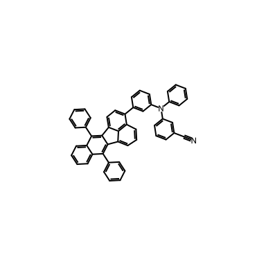 N#Cc1cccc(N(c2ccccc2)c2cccc(-c3ccc4c5c(cccc35)-c3c-4c(-c4ccccc4)c4ccccc4c3-c3ccccc3)c2)c1